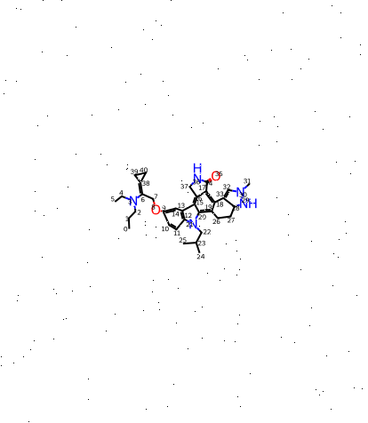 CCCN(CC)C(COc1ccc2c(c1)c1c3c(c4c(c1n2CC(C)C)CCC1NN(C)C=C41)C(=O)NC3)=C1CC1